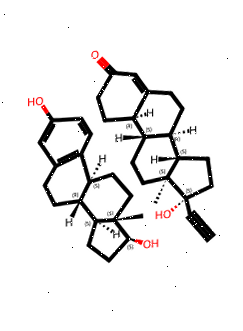 C#C[C@]1(O)CC[C@H]2[C@@H]3CCC4=CC(=O)CC[C@@H]4[C@H]3CC[C@@]21C.C[C@]12CC[C@@H]3c4ccc(O)cc4CC[C@H]3[C@@H]1CC[C@@H]2O